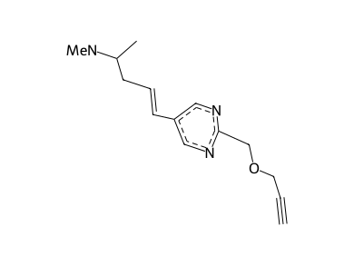 C#CCOCc1ncc(C=CCC(C)NC)cn1